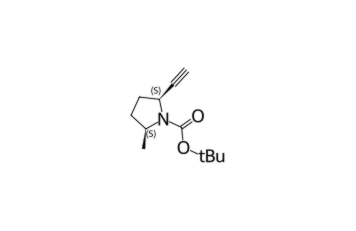 C#C[C@@H]1CC[C@H](C)N1C(=O)OC(C)(C)C